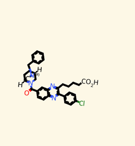 O=C(O)CCCCc1nc2cc(C(=O)N3C[C@H]4CC[C@@H]3CN4Cc3ccccc3)ccc2nc1-c1ccc(Cl)cc1